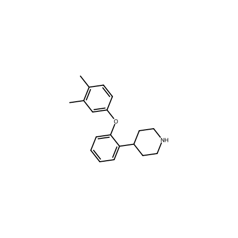 Cc1ccc(Oc2ccccc2C2CCNCC2)cc1C